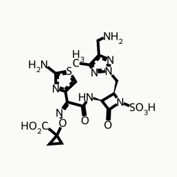 Cc1nn(C[C@@H]2[C@H](NC(=O)/C(=N\OC3(C(=O)O)CC3)c3csc(N)n3)C(=O)N2S(=O)(=O)O)nc1CN